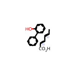 C/C=C/C=C/C(=O)O.Oc1ccccc1-c1ccccc1